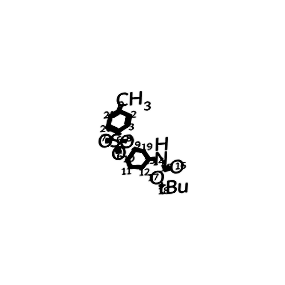 Cc1ccc(S(=O)(=O)OC2CCCC(NC(=O)OC(C)(C)C)C2)cc1